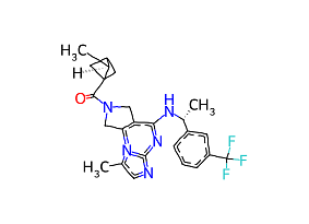 Cc1cnc2nc(N[C@H](C)c3cccc(C(F)(F)F)c3)c3c(n12)CN(C(=O)C12CC(C1)[C@@H]2C)C3